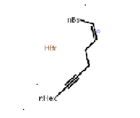 Br.CCCC/C=C\CCC#CCCCCCC